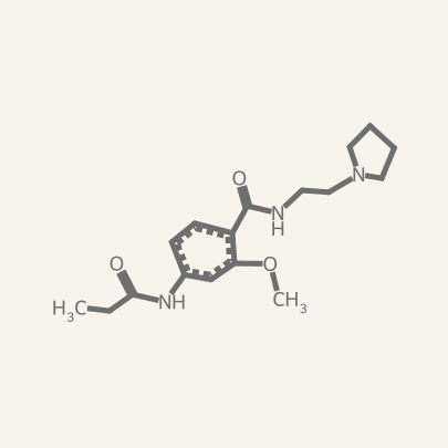 CCC(=O)Nc1ccc(C(=O)NCCN2CCCC2)c(OC)c1